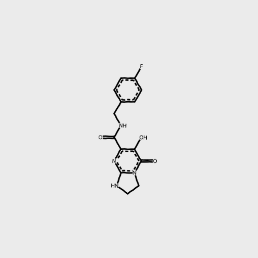 O=C(NCc1ccc(F)cc1)c1nc2n(c(=O)c1O)CCN2